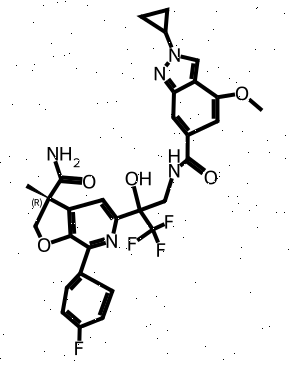 COc1cc(C(=O)NCC(O)(c2cc3c(c(-c4ccc(F)cc4)n2)OC[C@]3(C)C(N)=O)C(F)(F)F)cc2nn(C3CC3)cc12